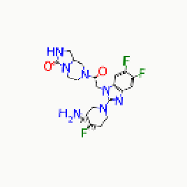 N[C@@H]1CN(c2nc3cc(F)c(F)cc3n2CC(=O)N2CCN3C(=O)NCC3C2)CC[C@H]1F